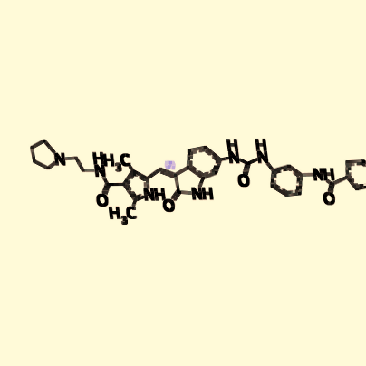 Cc1[nH]c(/C=C2\C(=O)Nc3cc(NC(=O)Nc4cccc(NC(=O)c5ccccc5)c4)ccc32)c(C)c1C(=O)NCCN1CCCC1